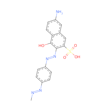 CN=Nc1ccc(N=Nc2c(S(=O)(=O)O)cc3cc(N)ccc3c2O)cc1